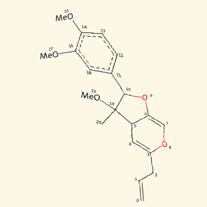 C=CCC1=CC2C(=CO1)OC(c1ccc(OC)c(OC)c1)C2(C)OC